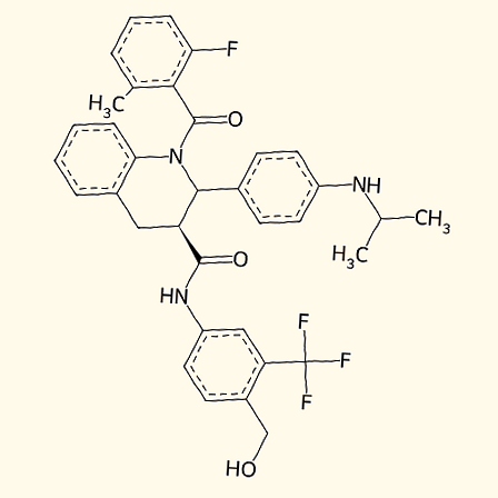 Cc1cccc(F)c1C(=O)N1c2ccccc2C[C@H](C(=O)Nc2ccc(CO)c(C(F)(F)F)c2)C1c1ccc(NC(C)C)cc1